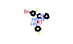 O=C(Nc1ccc(F)cc1)N[C@@H]1c2nc3ccccc3n2C[C@H]1c1c(F)cc(Br)cc1F